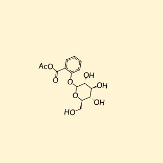 CC(=O)OC(=O)c1ccccc1OC1O[C@H](CO)[C@@H](O)[C@H](O)[C@H]1O